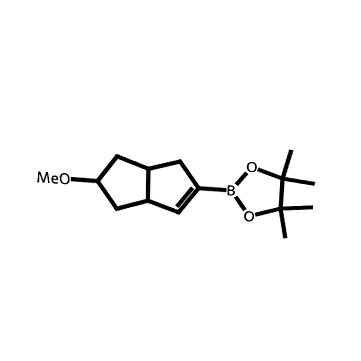 COC1CC2C=C(B3OC(C)(C)C(C)(C)O3)CC2C1